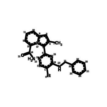 CCc1nnc(-c2c(C)cc3cccc(C(N)=O)n23)nc1NCc1ccccc1